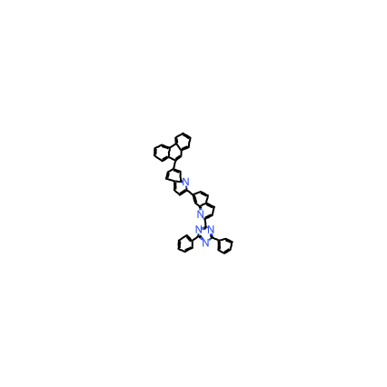 c1ccc(-c2nc(-c3ccccc3)nc(-c3ccc4ccc(-c5ccc6ccc(-c7cc8ccccc8c8ccccc78)cc6n5)cc4n3)n2)cc1